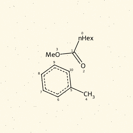 CCCCCCC(=O)OC.Cc1ccccc1